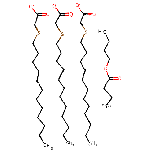 CCCCCCCCCCCCSCC(=O)[O-].CCCCCCCCCCCCSCC(=O)[O-].CCCCCCCCCCCCSCC(=O)[O-].CCCCOC(=O)C[CH2][Sn+3]